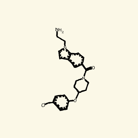 NCCn1ccc2cc(C(=O)N3CCC(Oc4ccc(Cl)cc4)CC3)ccc21